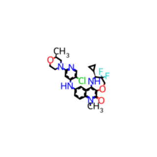 C[C@H]1CN(c2cc(Nc3ccc4c(c3)c3c(c(=O)n4C)OCC(F)(F)[C@H](C4CC4)N3)c(Cl)cn2)CCO1